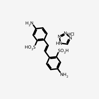 Cl.Nc1ccc(C=Cc2ccc(N)cc2S(=O)(=O)O)c(S(=O)(=O)O)c1.c1nnn[nH]1